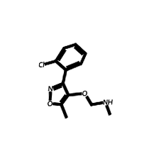 CNCOc1c(-c2ccccc2Cl)noc1C